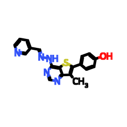 Cc1c(-c2ccc(O)cc2)sc2c(NN=Cc3cccnc3)ncnc12